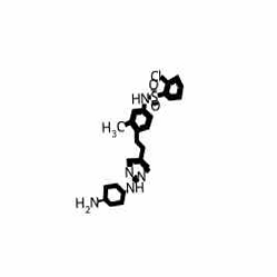 Cc1cc(NS(=O)(=O)c2ccccc2Cl)ccc1CCc1cnc(N[C@H]2CC[C@H](N)CC2)nc1